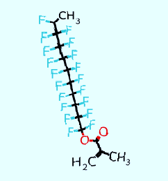 C=C(C)C(=O)OC(F)(F)C(F)(F)C(F)(F)C(F)(F)C(F)(F)C(F)(F)C(F)(F)C(F)(F)C(F)(F)C(C)F